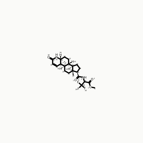 COC(=O)C(NC(=O)[C@@H]1CC[C@@H]2[C@H]3CC[C@H]4NC(=O)C=C[C@]4(C)[C@@H]3CC[C@]21C)C(F)(F)F